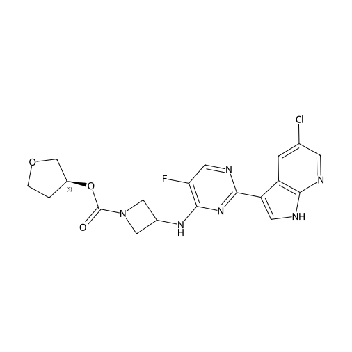 O=C(O[C@H]1CCOC1)N1CC(Nc2nc(-c3c[nH]c4ncc(Cl)cc34)ncc2F)C1